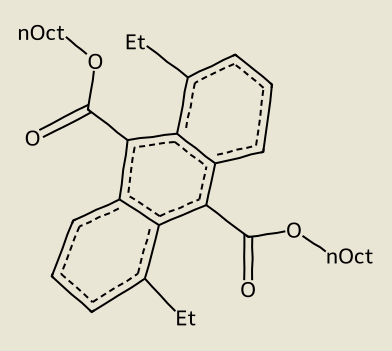 CCCCCCCCOC(=O)c1c2cccc(CC)c2c(C(=O)OCCCCCCCC)c2cccc(CC)c12